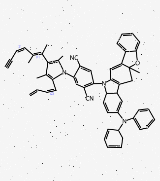 C#C/C=C\C(C)=C(/C)c1c(C)c(/C=C\C=C)n(-c2cc(C#N)c(N3C4=C(CC5(C)Oc6ccccc6C5=C4)C4C=C(N(c5ccccc5)C5C=CC=CC5)C=CC43)cc2C#N)c1C